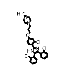 CN1CCN(CCCOc2ccc(-c3nc(-c4ccccc4Cl)c(-c4ccccc4Cl)[nH]3)c(Cl)c2)CC1